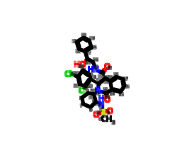 CS(=O)(=O)N[C@H]1CCCC[C@@H]1N1C(=O)c2ccccc2[C@@H](C(=O)NCC(O)c2ccccc2)[C@@H]1c1ccc(Cl)cc1Cl